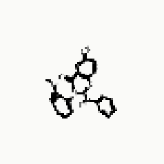 COc1ccccc1-n1c(Nc2ccccc2)nc2ccc(Cl)cc2c1=O